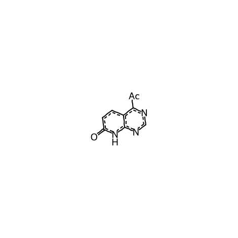 CC(=O)c1ncnc2[nH]c(=O)ccc12